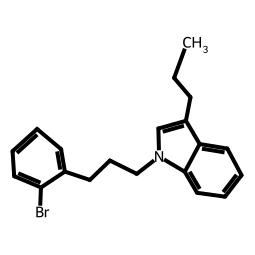 CCCc1cn(CCCc2ccccc2Br)c2ccccc12